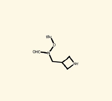 CC(C)(C)ON(C=O)CC1CNC1